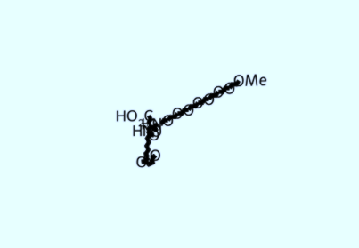 COCCOCCOCCOCCOCCOCCOCCOCCNC(=O)[C@H](CCC(=O)O)NC(=O)CCCCCN1C(=O)C=CC1=O